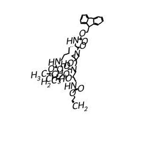 C=CCOC(=O)NC[C@@H](O)CN(CC1(O)CN(C(=O)[C@H](CCCCNC(=O)OC(C)(C)C)NC(=O)OCC2c3ccccc3-c3ccccc32)C1)C(=O)OCC=C